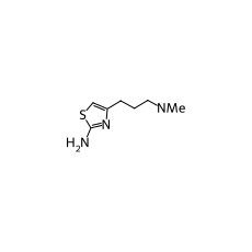 CNCCCc1csc(N)n1